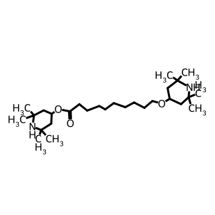 CC1(C)CC(OCCCCCCCCCC(=O)OC2CC(C)(C)NC(C)(C)C2)CC(C)(C)N1